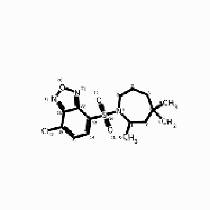 CC1CC(C)(C)CCCN1S(=O)(=O)c1ccc(Cl)c2nonc12